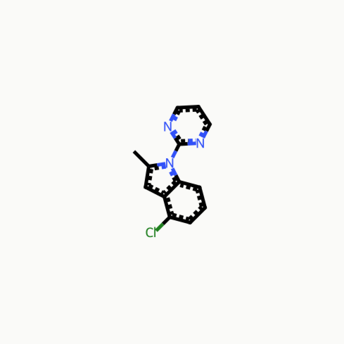 Cc1cc2c(Cl)cccc2n1-c1ncccn1